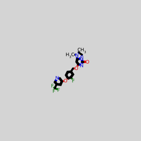 CC1Cn2c(cc(OCc3ccc(Oc4cncc(C(F)(F)F)c4)c(F)c3)nc2=O)N1C